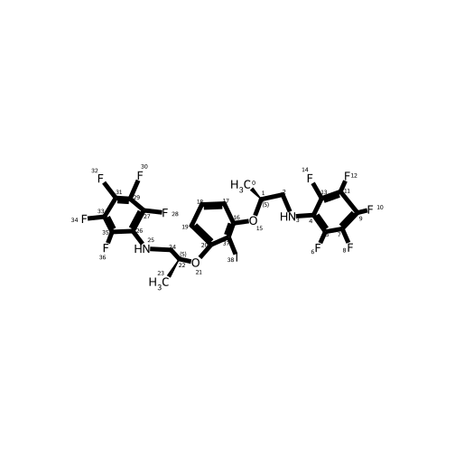 C[C@@H](CNc1c(F)c(F)c(F)c(F)c1F)Oc1cccc(O[C@@H](C)CNc2c(F)c(F)c(F)c(F)c2F)c1I